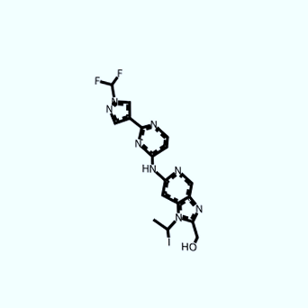 CC(I)n1c(CO)nc2cnc(Nc3ccnc(-c4cnn(C(F)F)c4)n3)cc21